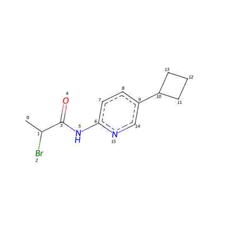 CC(Br)C(=O)Nc1ccc(C2CCC2)cn1